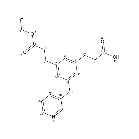 CCOC(=O)CCc1cc(CCC(=O)O)cc(Cc2cccnc2)c1